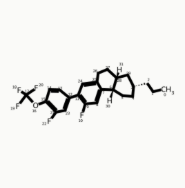 CCC[C@@H]1CC[C@@H]2c3cc(F)c(-c4ccc(OC(F)(F)F)c(F)c4)cc3CC[C@@H]2C1